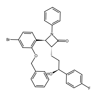 O=C1[C@H](CC[C@H](O)c2ccc(F)cc2)[C@@H](c2ccc(Br)cc2OCc2ccccc2)N1c1ccccc1